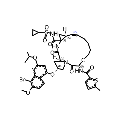 COc1ccc2c(O[C@@H]3C[C@H]4C(=O)N[C@]5(C(=O)NS(=O)(=O)C6CC6)C[C@H]5/C=C\CCCCC[C@H](NC(=O)c5ccc(C)s5)C(=O)N4C3)cc(OC(C)C)nc2c1Br